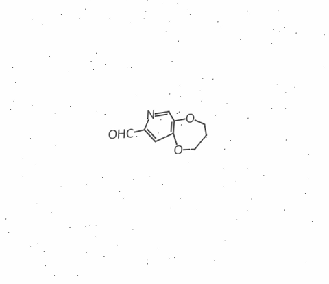 O=Cc1cc2c(cn1)OCCCO2